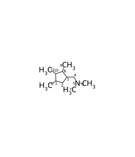 CC1CC(CN(C)C)C(C)C1C